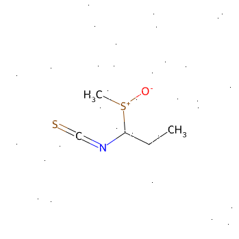 CCC(N=C=S)[S+](C)[O-]